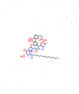 CCCCCCCCCCCCCCNC(=O)N(C)[C@H](CO)C(=O)N[C@H](C)C(=O)NCC(=O)N(C)[C@H](C(=O)N[C@@H](C)C(C)=O)c1ccc(O)c(-c2cc(C[C@H](C)C(=O)O)ccc2O)c1